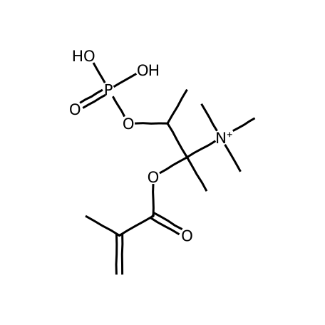 C=C(C)C(=O)OC(C)(C(C)OP(=O)(O)O)[N+](C)(C)C